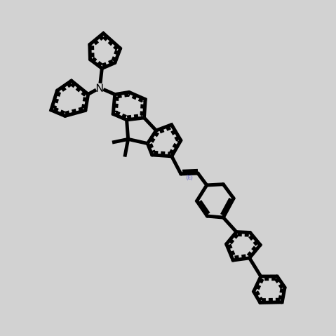 CC1(C)c2cc(/C=C/C3C=CC(c4ccc(-c5ccccc5)cc4)=CC3)ccc2-c2ccc(N(c3ccccc3)c3ccccc3)cc21